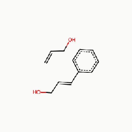 C=CCO.OCC=Cc1ccccc1